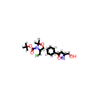 CC(C)(C)OC(=O)N1C(CF)[C@@H](c2ccc(-c3cc(CO)no3)cc2)OC1(C)C